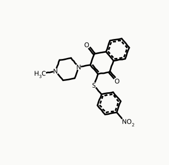 CN1CCN(C2=C(Sc3ccc([N+](=O)[O-])cc3)C(=O)c3ccccc3C2=O)CC1